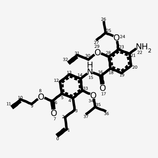 C=CCCc1c(C(=O)OCC=C)ccc(NC(=O)c2ccc(N)c(OC(C)C)c2OCC=C)c1OC(C)C